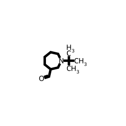 CC(C)(C)N1CCCCC(C=O)C1